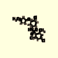 Cc1cc(Cl)cc(Cl)c1S(=O)(=O)Nc1ccc(Cl)c(OC2CCN(C)C2)c1